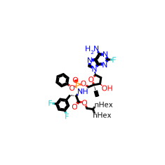 C#C[C@]1(CO[P@@](=O)(N[C@@H](Cc2cc(F)cc(F)c2)C(=O)OCC(CCCCCC)CCCCCC)Oc2ccccc2)O[C@@H](n2cnc3c(N)nc(F)nc32)C[C@@H]1O